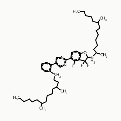 CCCCCC(C)CCCCCCC(C)[SiH2]C1Oc2ccc(-c3ncc(-c4ccccc4[SiH2]CCC(C)CCCCC(C)CCCCC)cn3)c(F)c2C1(F)F